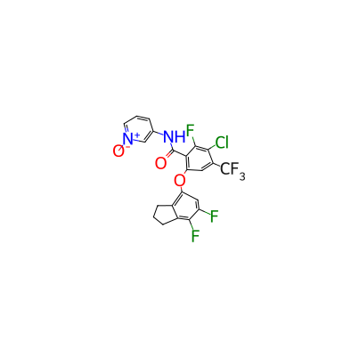 O=C(Nc1ccc[n+]([O-])c1)c1c(Oc2cc(F)c(F)c3c2CCC3)cc(C(F)(F)F)c(Cl)c1F